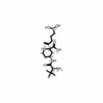 C=C(CCCB(O)O)[C@]1(C(=O)O)C[C@@H](NC(=O)[C@@H](N)C(C)(C)C)CCN1